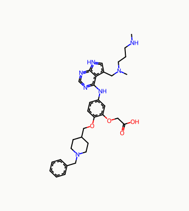 CNCCCN(C)Cc1c[nH]c2ncnc(Nc3ccc(OCC4CCN(Cc5ccccc5)CC4)c(OCC(=O)O)c3)c12